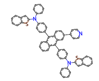 c1ccc(N(c2ccc(-c3c4ccccc4c(-c4ccc(N(c5ccccc5)c5cc6ccccc6s5)cc4)c4cc(-c5ccncc5)ccc34)cc2)c2cc3ccccc3s2)cc1